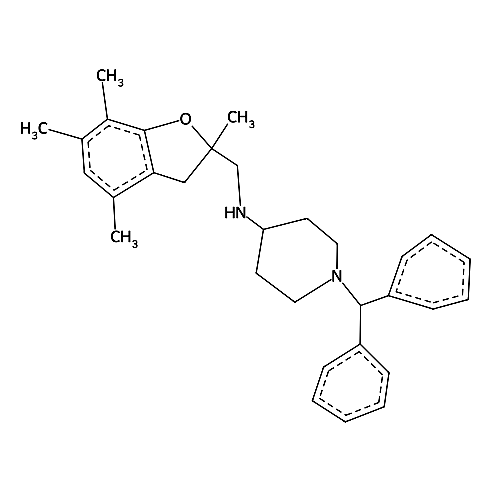 Cc1cc(C)c2c(c1C)OC(C)(CNC1CCN(C(c3ccccc3)c3ccccc3)CC1)C2